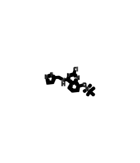 CC(C)(C)[Si](C)(C)Oc1cccc2c(NCc3ccns3)nc(Cl)nc12